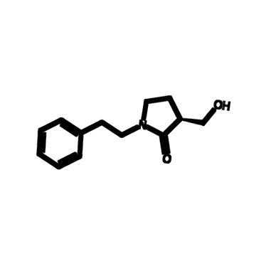 O=C1[C@H](CO)CCN1CCc1ccccc1